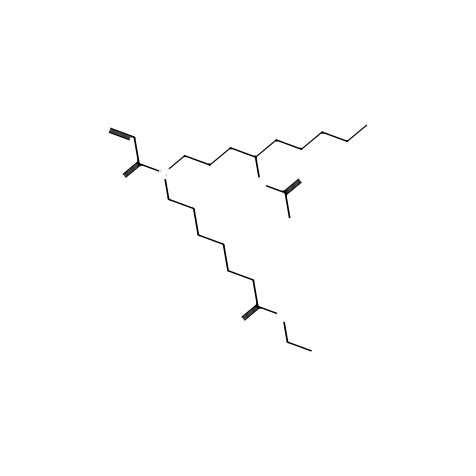 C=CC(=O)N(CCCCCCC(=O)OCC)CCCC(CCCCC)OC(C)=O